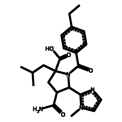 CCc1ccc(C(=O)N2C(c3nccn3C)C(C(N)=O)CC2(CC(C)C)C(=O)O)cc1